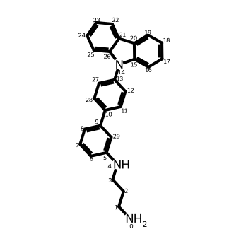 NCCCNc1cccc(-c2ccc(-n3c4ccccc4c4ccccc43)cc2)c1